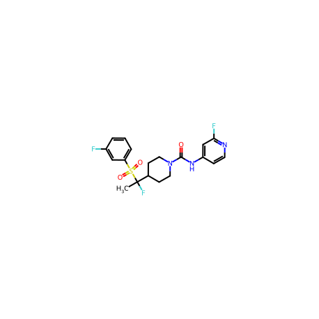 CC(F)(C1CCN(C(=O)Nc2ccnc(F)c2)CC1)S(=O)(=O)c1cccc(F)c1